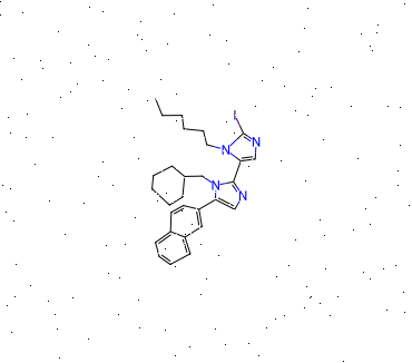 CCCCCCn1c(-c2ncc(-c3ccc4ccccc4c3)n2CC2CCCCC2)cnc1I